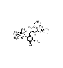 CCOC(=O)[C@H](Cc1cc(C)c(C)cc1B1OC(C)(C)C(C)(C)O1)NC(=O)OC(C)(C)C